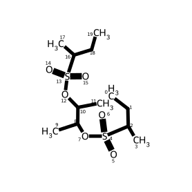 CCC(C)S(=O)(=O)OC(C)C(C)OS(=O)(=O)C(C)CC